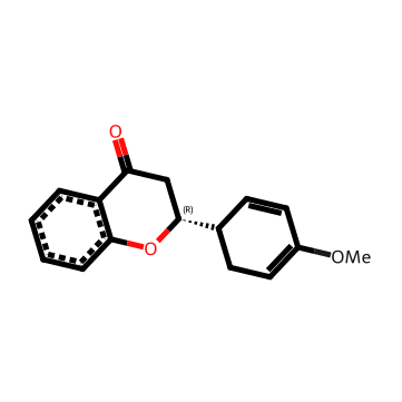 COC1=CCC([C@H]2CC(=O)c3ccccc3O2)C=C1